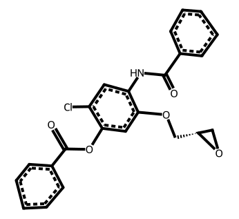 O=C(Nc1cc(Cl)c(OC(=O)c2ccccc2)cc1OC[C@@H]1CO1)c1ccccc1